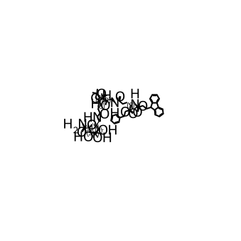 CC1(C)O[C@@H]2[C@H](O1)[C@@H](CNC(=O)CC[C@H](NC(=O)OCC1c3ccccc3-c3ccccc31)C(=O)OCc1ccccc1)O[C@H]2CC(=O)NC[C@@H]1O[C@H](C(N)=O)[C@@H](O)[C@H](O)[C@H]1O